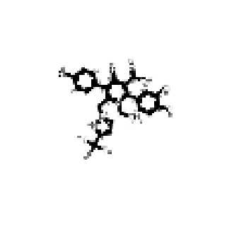 CCn1c(Cn2ccc(C(F)(F)F)n2)c(-c2ccc(Cl)cc2)c(=O)c(C(=O)O)c1-c1ccc(Cl)c(Cl)c1